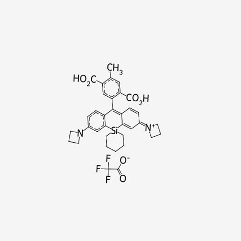 Cc1cc(C(=O)O)c(C2=C3C=CC(=[N+]4CCC4)C=C3[Si]3(CCCCC3)c3cc(N4CCC4)ccc32)cc1C(=O)O.O=C([O-])C(F)(F)F